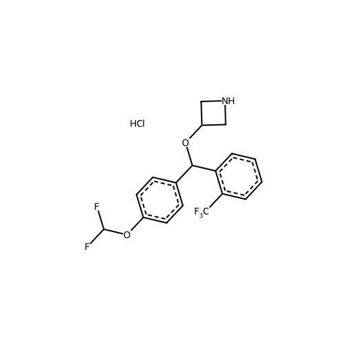 Cl.FC(F)Oc1ccc(C(OC2CNC2)c2ccccc2C(F)(F)F)cc1